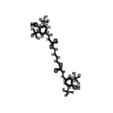 CC(C)(C)c1cc(CCC(=O)OCCCCOC(=O)CCc2cc(C(C)(C)C)c(O)c(C(C)(C)C)c2)cc(C(C)(C)C)c1O